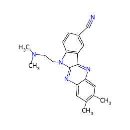 Cc1cc2nc3c4cc(C#N)ccc4n(CCN(C)C)c3nc2cc1C